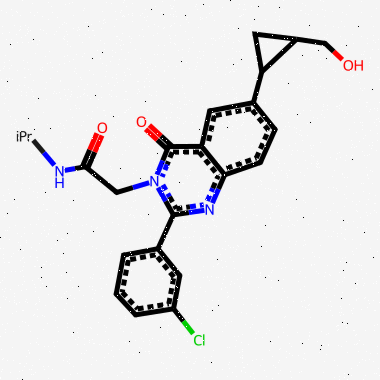 CC(C)NC(=O)Cn1c(-c2cccc(Cl)c2)nc2ccc(C3CC3CO)cc2c1=O